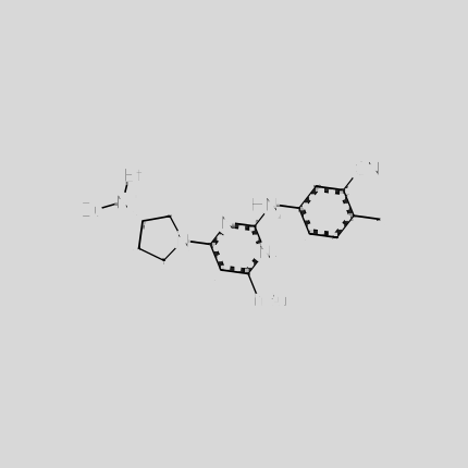 CCCCc1cc(N2CC[C@H](N(CC)CC)C2)nc(Nc2ccc(C)c(C#N)c2)n1